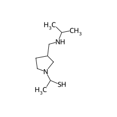 CC(C)NCC1CCN(C(C)S)C1